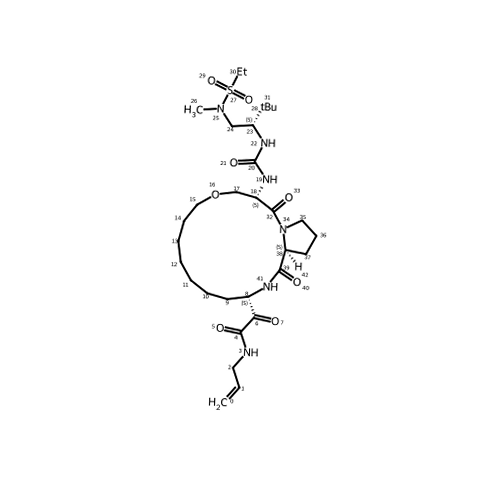 C=CCNC(=O)C(=O)[C@@H]1CCCCCCCOC[C@H](NC(=O)N[C@H](CN(C)S(=O)(=O)CC)C(C)(C)C)C(=O)N2CCC[C@H]2C(=O)N1